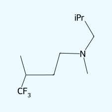 CC(C)CN(C)CCC(C)C(F)(F)F